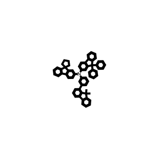 CC1(C)c2ccccc2-c2cccc(-c3cccc(N(c4ccc5c(c4)C4(CCCC4)c4ccccc4-5)c4ccc5c(c4)C(c4ccccc4)(c4ccccc4)c4ccccc4-5)c3)c21